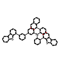 c1cc(-c2cccc(N(c3ccccc3-c3cccc4ccccc34)c3ccccc3-c3cccc4c3sc3ccccc34)c2)cc(-c2cccc3c2sc2ccccc23)c1